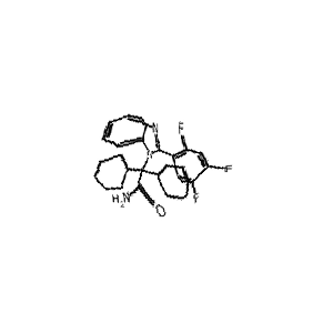 NC(=O)C(C1CCCCC1)(C1CCCCC1)n1c(-c2cc(F)c(F)cc2F)nc2ccccc21